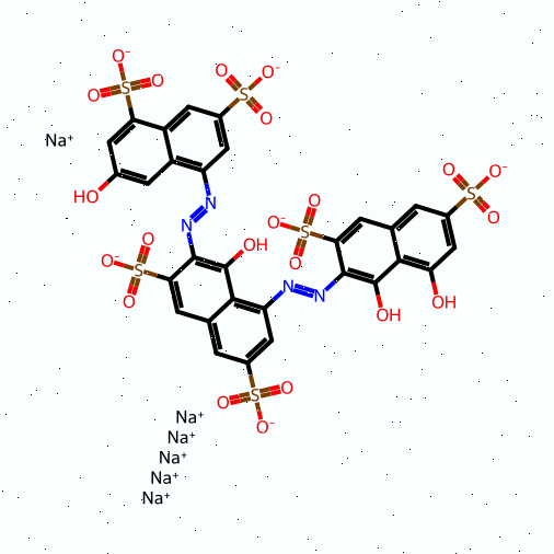 O=S(=O)([O-])c1cc(O)c2c(O)c(N=Nc3cc(S(=O)(=O)[O-])cc4cc(S(=O)(=O)[O-])c(N=Nc5cc(S(=O)(=O)[O-])cc6c(S(=O)(=O)[O-])cc(O)cc56)c(O)c34)c(S(=O)(=O)[O-])cc2c1.[Na+].[Na+].[Na+].[Na+].[Na+].[Na+]